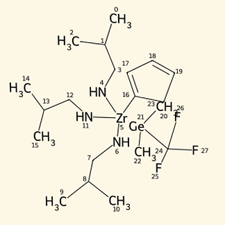 CC(C)C[NH][Zr]([NH]CC(C)C)([NH]CC(C)C)([C]1=CC=CC1)[Ge]([CH3])([CH3])[C](F)(F)F